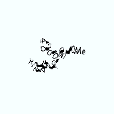 COCCCOP(=O)(CO[C@H](C)Cn1cnc2c(N)ncnc21)OCOC(=O)SC(C)C